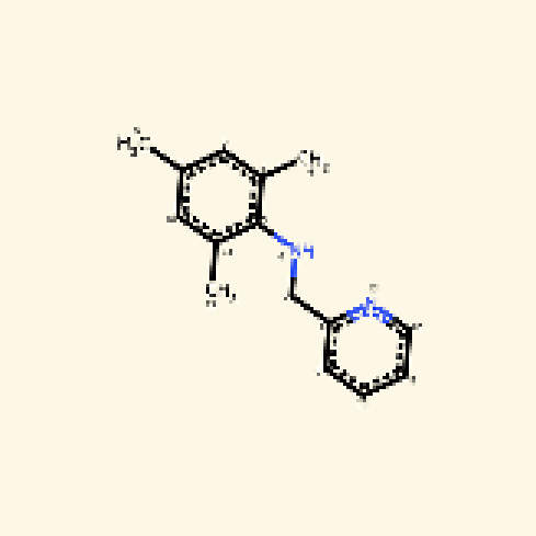 Cc1cc(C)c(NCc2ccccn2)c(C)c1